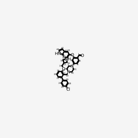 O=Cc1ccc(N2CCN(Cc3c(OCC4CNC4)cccc3-c3ccc(Cl)cc3)CC2)cc1Oc1cnc2[nH]ccc2c1